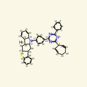 C1#CC(c2nc(-c3ccccc3)nc(-c3ccc(N4C5C=CC=CC5[C@@H]5CC6Sc7ccccc7C6CC54)cc3)n2)C=CCC1